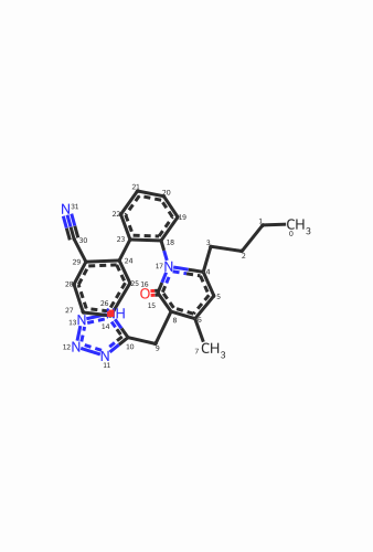 CCCCc1cc(C)c(Cc2nnn[nH]2)c(=O)n1-c1ccccc1-c1ccccc1C#N